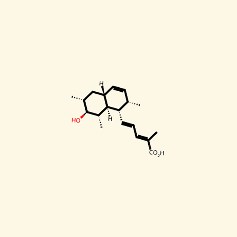 C/C(=C\C=C\[C@@H]1[C@H]2[C@H](C)[C@@H](O)[C@H](C)C[C@@H]2C=C[C@@H]1C)C(=O)O